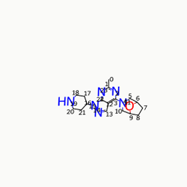 Cc1nc(N2CC3CCC(C2)O3)c2cnn(C3CCNCC3)c2n1